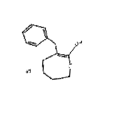 Cl.OC1=C(Cc2ccccc2)CCCCC1